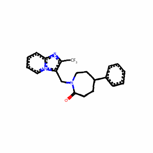 O=C1CCC(c2ccccc2)CCN1Cc1c(C(F)(F)F)nc2ccccn12